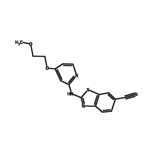 COCCOc1ccnc(Nc2nc3ccc(C#N)cc3s2)c1